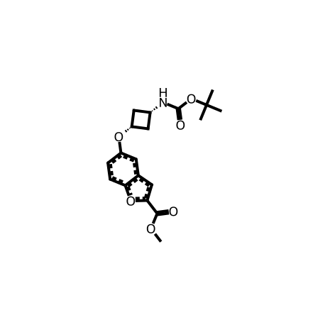 COC(=O)c1cc2cc(O[C@H]3C[C@@H](NC(=O)OC(C)(C)C)C3)ccc2o1